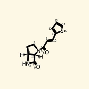 O=C1N[C@@H]2CCN(C(=O)C=Cc3cccs3)[C@H]12